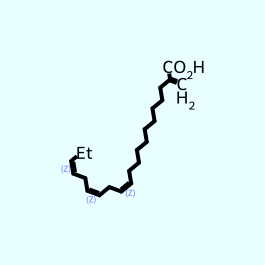 C=C(CCCCCCCCC/C=C\C/C=C\C/C=C\CC)C(=O)O